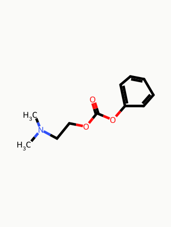 CN(C)CCOC(=O)Oc1ccccc1